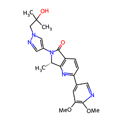 COc1cc(-c2ccc3c(n2)[C@H](C)N(c2cnn(CC(C)(C)O)c2)C3=O)cnc1OC